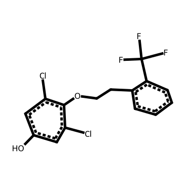 Oc1cc(Cl)c(OCCc2ccccc2C(F)(F)F)c(Cl)c1